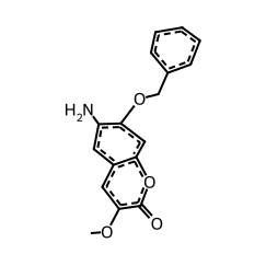 COc1cc2cc(N)c(OCc3ccccc3)cc2oc1=O